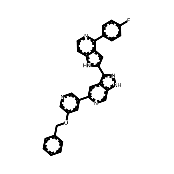 Fc1ccc(-c2nccc3[nH]c(-c4n[nH]c5cnc(-c6cncc(OCc7ccccc7)c6)cc45)cc23)cc1